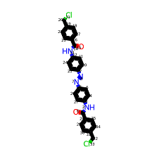 O=C(Nc1ccc(/N=N/c2ccc(NC(=O)c3ccc(CCl)cc3)cc2)cc1)c1ccc(CCl)cc1